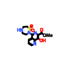 COC(=O)c1nc(N2CCNCCS2(=O)=O)c2cccnc2c1O